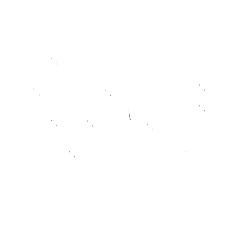 C=C([C@@H]1CCCN1c1nc(N)nc2[nH]cnc(=O)c12)N(C(=O)C1C(Cl)C=CN1N)c1ccccc1